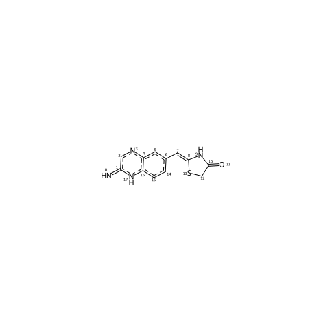 N=c1cnc2cc(C=C3NC(=O)CS3)ccc2[nH]1